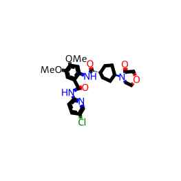 COc1cc(NC(=O)[C@H]2CC[C@H](N3CCOCC3=O)CC2)c(C(=O)Nc2ccc(Cl)cn2)cc1OC